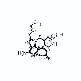 CCOCc1nc2c(N)nc3cc(Br)ccc3c2n1CC1CCNCC1.Cl.Cl